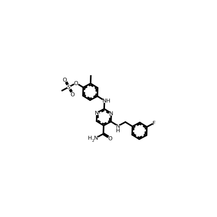 Cc1cc(Nc2ncc(C(N)=O)c(NCc3cccc(F)c3)n2)ccc1OS(C)(=O)=O